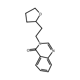 O=c1c2ccccc2ncn1CCC1CCCO1